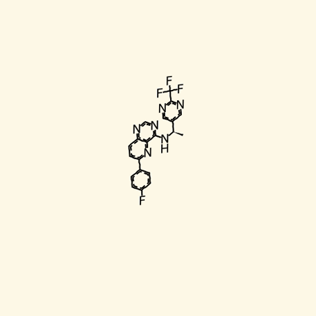 C[C@@H](Nc1ncnc2ccc(-c3ccc(F)cc3)nc12)c1cnc(C(F)(F)F)nc1